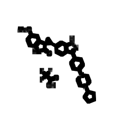 COc1ccc2c(c1)[C@]1(C[C@H]1c1ccc3c(-c4ccc(N5C=CN(C6CCCC6)C=C5)cc4)n[nH]c3c1)C(=O)N2.O=C(O)C(F)(F)F